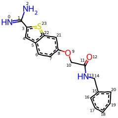 N=C(N)c1cc2ccc(OCC(=O)NCc3ccccc3)cc2s1